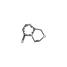 O=c1ccnc2n1C=COC2